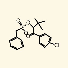 CC(C)(C)C(OS(=O)(=O)Cc1ccccc1)C(=O)c1ccc(Cl)cc1